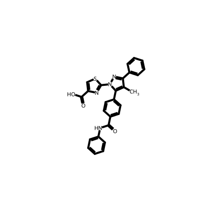 Cc1c(-c2ccccc2)nn(-c2nc(C(=O)O)cs2)c1-c1ccc(C(=O)Nc2ccccc2)cc1